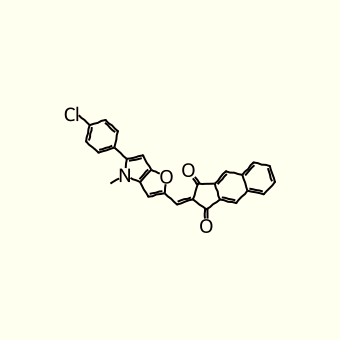 Cn1c(-c2ccc(Cl)cc2)cc2oc(C=C3C(=O)c4cc5ccccc5cc4C3=O)cc21